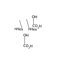 CCCCCCC.CCCCCCC.O=C(O)O.O=C(O)O